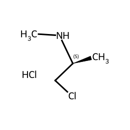 CN[C@@H](C)CCl.Cl